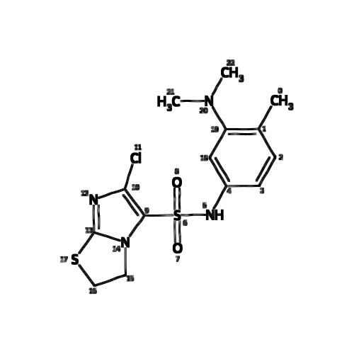 Cc1ccc(NS(=O)(=O)c2c(Cl)nc3n2CCS3)cc1N(C)C